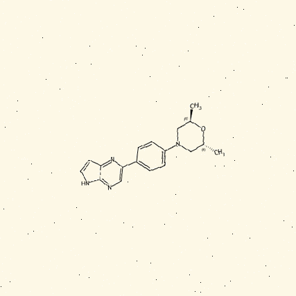 C[C@@H]1CN(c2ccc(-c3cnc4[nH]ccc4n3)cc2)C[C@@H](C)O1